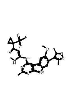 CN/C(=C\C(=N)C1(C(F)(F)F)CC1)Nc1nc(C)nc2[nH]c3cc(-c4c(C)noc4C)c(OC)cc3c12